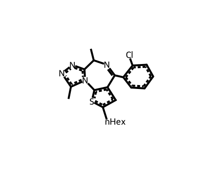 CCCCCCc1cc2c(s1)-n1c(C)nnc1C(C)N=C2c1ccccc1Cl